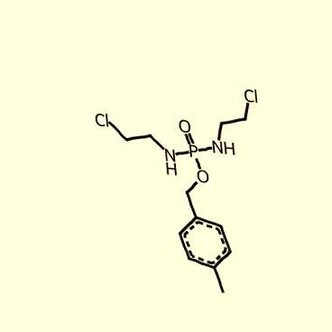 Cc1ccc(COP(=O)(NCCCl)NCCCl)cc1